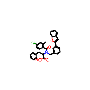 Cc1cc(Cl)ccc1C(=O)N(Cc1cccc(-c2cc3ccccc3o2)c1)C(Cc1ccccc1)C(=O)O